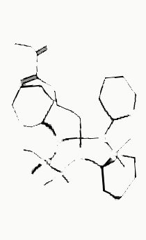 C=C(C)C(=O)OCCC([SiH](C1CCCCO1)[Si](C)(C)C)([SiH](C1CCCCO1)[Si](C)(C)C)[SiH](C1CCCCO1)[Si](C)(C)C